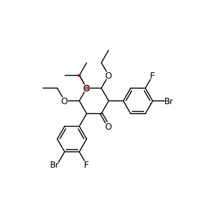 CCOC(OCC)C(C(=O)C(c1ccc(Br)c(F)c1)C(OCC)OCC)c1ccc(Br)c(F)c1